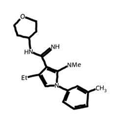 CCc1cn(-c2cccc(C)c2)c(NC)c1C(=N)NC1CCOCC1